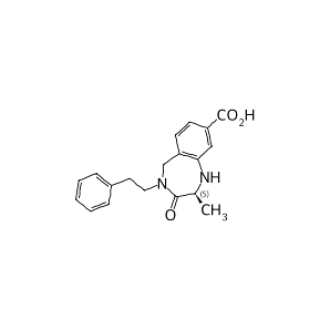 C[C@@H]1Nc2cc(C(=O)O)ccc2CN(CCc2ccccc2)C1=O